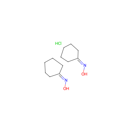 Cl.ON=C1CCCCC1.ON=C1CCCCC1